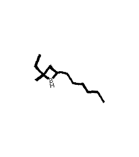 CCCCCCC1BC(C)(CC)C1